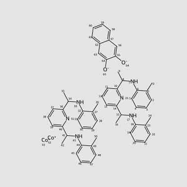 Cc1ccccc1NC(C)c1cccc(C(C)Nc2ccccc2C)n1.Cc1ccccc1NC(C)c1cccc(C(C)Nc2ccccc2C)n1.[Co+].[Co+].[O-]c1cc2ccccc2cc1[O-]